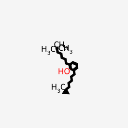 CC(C)(C)CCCCCc1cccc(CCCCCC2(C)CC2)c1O